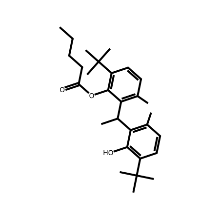 CCCCC(=O)Oc1c(C(C)(C)C)ccc(C)c1C(C)c1c(C)ccc(C(C)(C)C)c1O